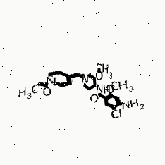 CCC(=O)N1CCC(CN2CC[C@@H](NC(=O)c3cc(Cl)c(N)cc3OC)[C@@H](OC)C2)CC1